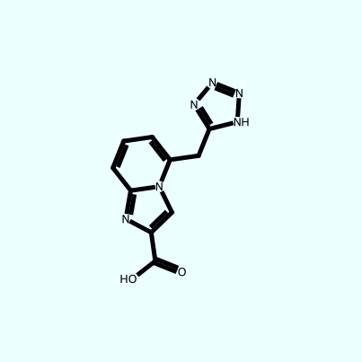 O=C(O)c1cn2c(Cc3nnn[nH]3)cccc2n1